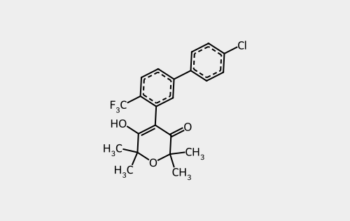 CC1(C)OC(C)(C)C(O)=C(c2cc(-c3ccc(Cl)cc3)ccc2C(F)(F)F)C1=O